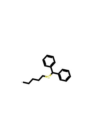 [CH2]CCCCSC(c1ccccc1)c1ccccc1